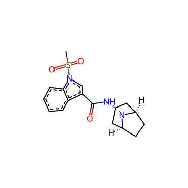 CN1[C@@H]2CC[C@H]1C[C@H](NC(=O)c1cn(S(C)(=O)=O)c3ccccc13)C2